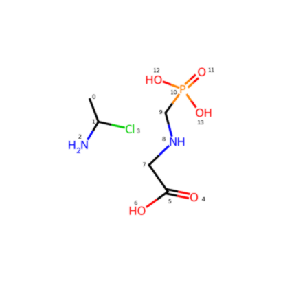 CC(N)Cl.O=C(O)CNCP(=O)(O)O